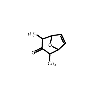 CC1C(=O)C(C)C2C=CC1O2